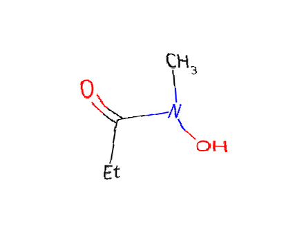 CCC(=O)N(C)O